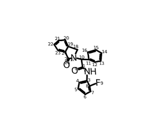 O=C(Nc1ccccc1F)C(c1ccccc1)N1Cc2ccccc2C1=O